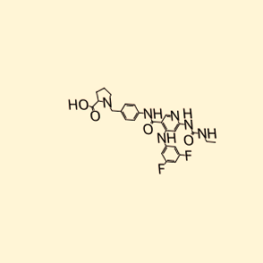 CCNC(=O)Nc1cc(Nc2cc(F)cc(F)c2)c(C(=O)Nc2ccc(CN3CCCC3C(=O)O)cc2)cn1